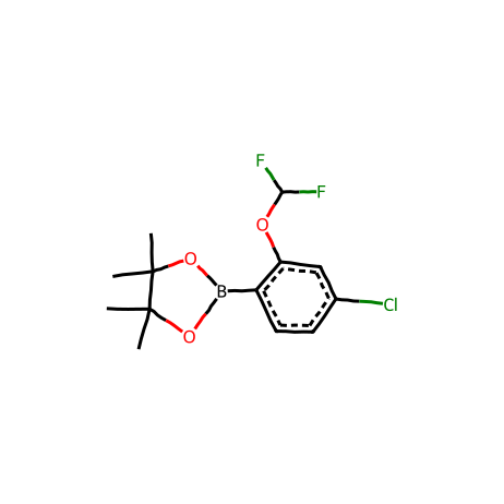 CC1(C)OB(c2ccc(Cl)cc2OC(F)F)OC1(C)C